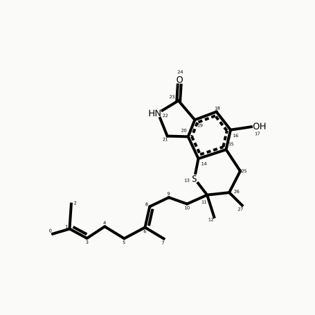 CC(C)=CCC/C(C)=C/CCC1(C)Sc2c(c(O)cc3c2CNC3=O)CC1C